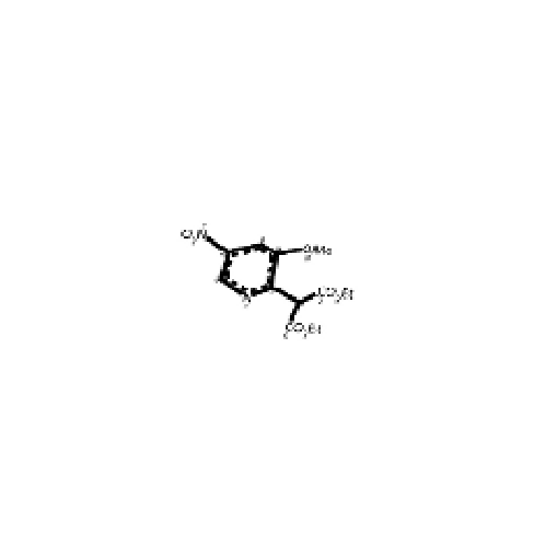 CCOC(=O)C(C(=O)OCC)c1ncc([N+](=O)[O-])cc1OC